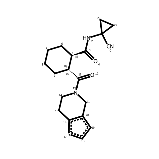 N#CC1(NC(=O)[C@@H]2CCCC[C@H]2C(=O)N2CCc3sccc3C2)CC1